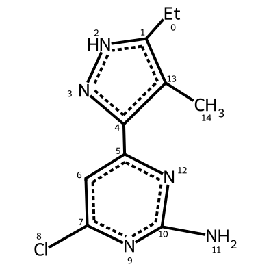 CCc1[nH]nc(-c2cc(Cl)nc(N)n2)c1C